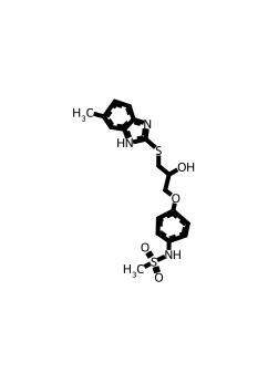 Cc1ccc2nc(SCC(O)COc3ccc(NS(C)(=O)=O)cc3)[nH]c2c1